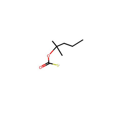 CCCC(C)(C)OC(=O)[S]